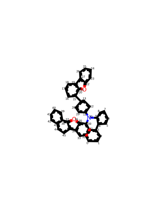 c1ccc(-c2ccccc2N(c2ccc(-c3cccc4c3oc3ccccc34)cc2)c2cccc3c2oc2c4ccccc4ccc32)cc1